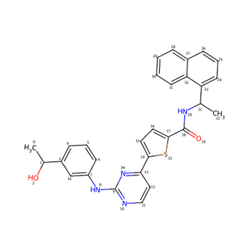 CC(O)c1cccc(Nc2nccc(-c3ccc(C(=O)NC(C)c4cccc5ccccc45)s3)n2)c1